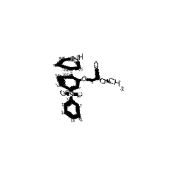 COC(=O)COC1C=C(S(=O)(=O)c2ccccc2)C=CC1[C@@H]1CCNC1